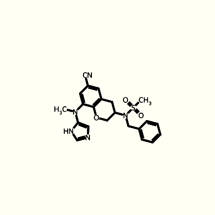 CN(c1cnc[nH]1)c1cc(C#N)cc2c1OCC(N(Cc1ccccc1)S(C)(=O)=O)C2